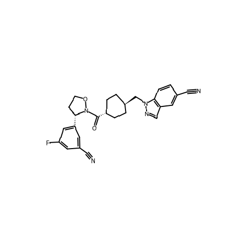 N#Cc1cc(F)cc([C@@H]2CCON2C(=O)[C@H]2CC[C@H](Cn3ncc4cc(C#N)ccc43)CC2)c1